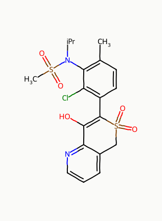 Cc1ccc(C2=C(O)c3ncccc3CS2(=O)=O)c(Cl)c1N(C(C)C)S(C)(=O)=O